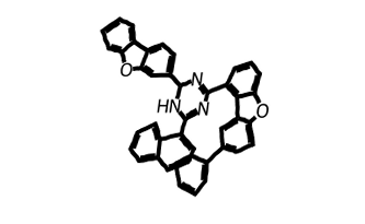 c1ccc(-c2ccc3oc4cccc(C5=NC(c6ccc7c(c6)oc6ccccc67)NC(c6cccc7ccccc67)=N5)c4c3c2)cc1